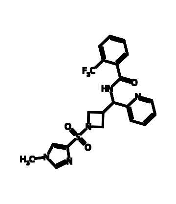 Cn1cnc(S(=O)(=O)N2CC(C(NC(=O)c3ccccc3C(F)(F)F)c3ccccn3)C2)c1